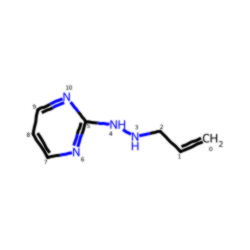 C=CCNNc1ncccn1